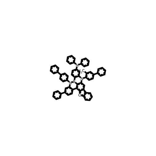 Cc1cc(-c2ccccc2)ccc1N1c2cc(N(c3ccccc3)c3ccccc3)ccc2B2c3c1cc1c(oc4ccccc41)c3-c1ccc(-c3ccccc3)cc1N2c1ccc(-c2ccccc2)cc1